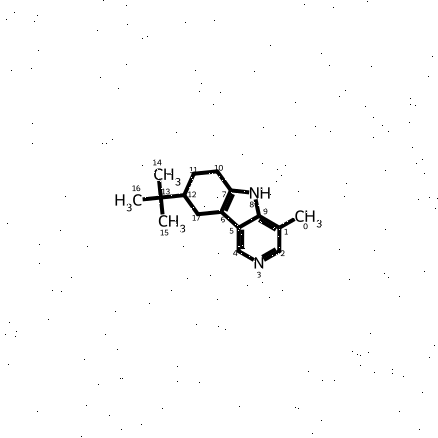 Cc1cncc2c3c([nH]c12)CCC(C(C)(C)C)C3